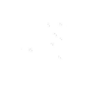 Cc1cc(-c2c(-c3ccc(F)cc3)nc(N)n3nc(CN4CCCCC4)nc23)c[nH]c1=O